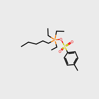 CCCCCP(CC)(CC)(CC)OS(=O)(=O)c1ccc(C)cc1